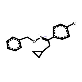 Clc1ccc(/C(CC2CC2)=N/OCc2ccccc2)cc1